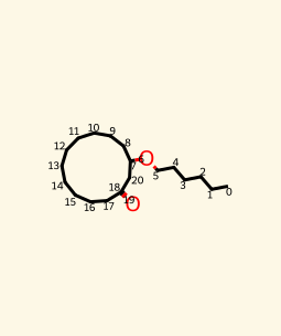 CCCCCCOC1CCCCCCCCCCC(=O)C1